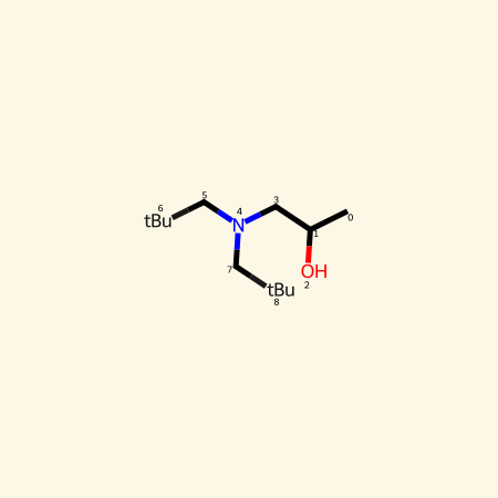 CC(O)CN(CC(C)(C)C)CC(C)(C)C